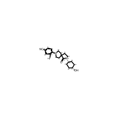 N#Cc1ccc(N2CCC3(CC2)CCN([C@H]2CC[C@@H](O)CC2)C3=O)c(F)c1